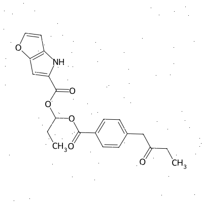 CCC(=O)Cc1ccc(C(=O)OC(CC)OC(=O)c2cc3occc3[nH]2)cc1